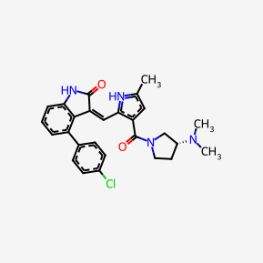 Cc1cc(C(=O)N2CC[C@@H](N(C)C)C2)c(C=C2C(=O)Nc3cccc(-c4ccc(Cl)cc4)c32)[nH]1